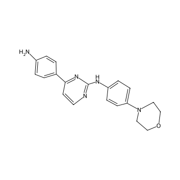 Nc1ccc(-c2ccnc(Nc3ccc(N4CCOCC4)cc3)n2)cc1